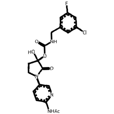 CC(=O)Nc1ccc(N2CCC(O)(OC(=O)NCc3cc(F)cc(Cl)c3)C2=O)cn1